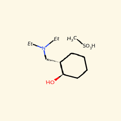 CCN(CC)C[C@@H]1CCCC[C@H]1O.CS(=O)(=O)O